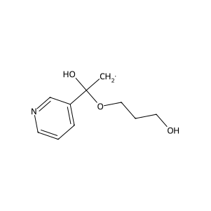 [CH2]C(O)(OCCCO)c1cccnc1